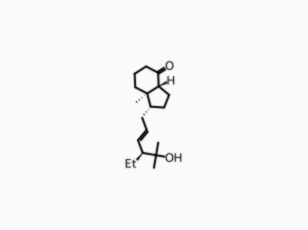 CC[C@@H](/C=C/C[C@H]1CC[C@H]2C(=O)CCC[C@]12C)C(C)(C)O